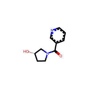 O=C(c1cccnc1)N1CC[C@H](O)C1